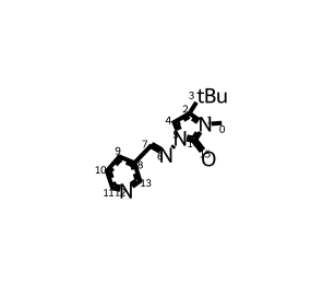 Cn1c(C(C)(C)C)cn(N=Cc2cccnc2)c1=O